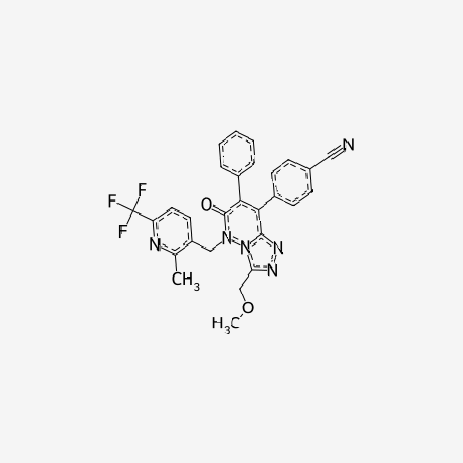 COCc1nnc2c(-c3ccc(C#N)cc3)c(-c3ccccc3)c(=O)n(Cc3ccc(C(F)(F)F)nc3C)n12